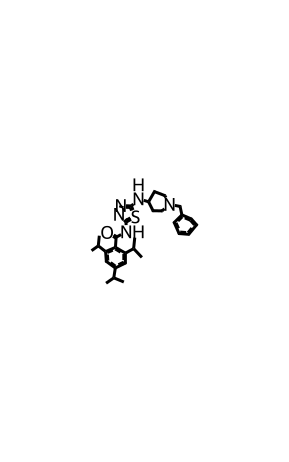 CC(C)c1cc(C(C)C)c(C(=O)Nc2nnc(NC3CCN(Cc4ccccc4)CC3)s2)c(C(C)C)c1